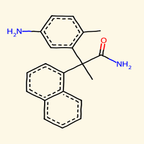 Cc1ccc(N)cc1C(C)(C(N)=O)c1cccc2ccccc12